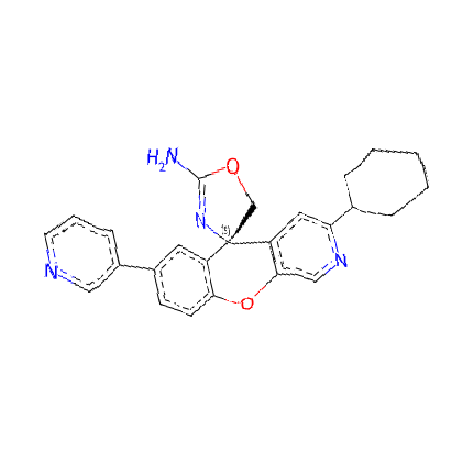 NC1=N[C@@]2(CO1)c1cc(-c3cccnc3)ccc1Oc1cnc(C3CCCCC3)cc12